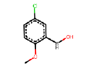 COc1ccc(Cl)cc1BO